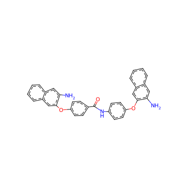 Nc1cc2ccccc2cc1Oc1ccc(NC(=O)c2ccc(Oc3cc4ccccc4cc3N)cc2)cc1